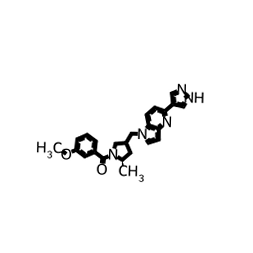 COc1cccc(C(=O)N2CC(Cn3ccc4nc(-c5cn[nH]c5)ccc43)C[C@@H]2C)c1